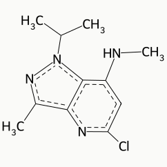 CNc1cc(Cl)nc2c(C)nn(C(C)C)c12